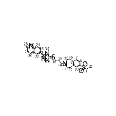 CCS(=O)(=O)c1ccc2c(c1)CCN(CCCSc1nnc(-c3ccc4nc(C)ccc4c3)n1C)CC2